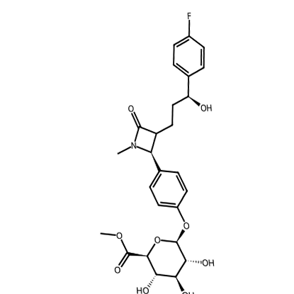 COC(=O)[C@H]1O[C@@H](Oc2ccc([C@@H]3C(CC[C@H](O)c4ccc(F)cc4)C(=O)N3C)cc2)[C@H](O)[C@@H](O)[C@@H]1O